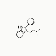 CC(C)CCc1c(-c2ccccc2)[nH]c2ccccc12